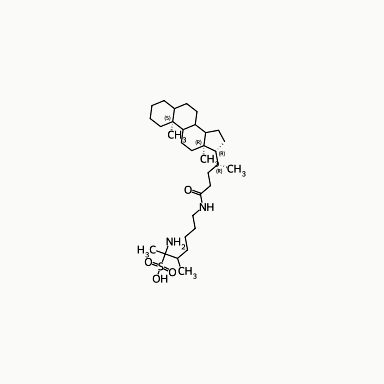 CC(CCCCNC(=O)CC[C@@H](C)[C@H]1CCC2C3CCC4CCCC[C@]4(C)C3CC[C@@]21C)C(C)(N)S(=O)(=O)O